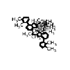 Cc1cccc(-c2cccc3c2C=C(C(C)(C)C)[CH]3[Zr]([Cl])([Cl])([BH]N([Si](C)(C)C)[Si](C)(C)C)[CH]2C(C(C)(C)C)=Cc3c(-c4cccc(C)c4C)cccc32)c1C